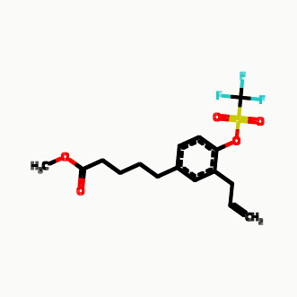 C=CCc1cc(CCCCC(=O)OC)ccc1OS(=O)(=O)C(F)(F)F